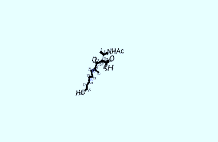 CC(=O)NC(C)[C@H](C(=O)S)C(=O)/C(C)=C/C=C/CCCO